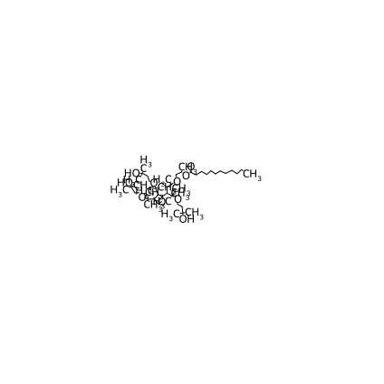 CCCCCCCCCCCC(=O)OC(C)COC(C)(C)CC(C1OCC(C(C)(C)OCCC(C)(C)O)C1C(C)(C)OCCC(C)(C)O)C(C)(C)OCCC(C)(C)O